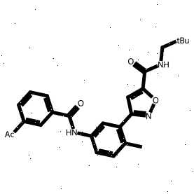 CC(=O)c1cccc(C(=O)Nc2ccc(C)c(-c3cc(C(=O)NCC(C)(C)C)on3)c2)c1